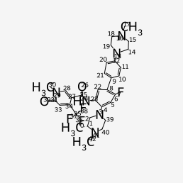 C[C@@H]1CN(c2cc(F)c(-c3ccc(N4CCN(C)CC4)cc3)cc2NC(=O)c2cn(C)c(=O)cc2C(F)(F)F)CCN1C